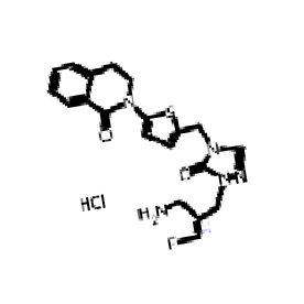 Cl.NC/C(=C\F)Cn1ncn(Cc2ccc(N3CCc4ccccc4C3=O)s2)c1=O